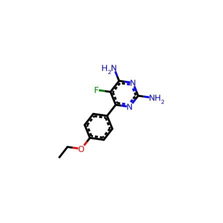 CCOc1ccc(-c2nc(N)nc(N)c2F)cc1